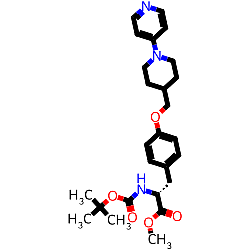 COC(=O)[C@@H](Cc1ccc(OCC2CCN(c3ccncc3)CC2)cc1)NC(=O)OC(C)(C)C